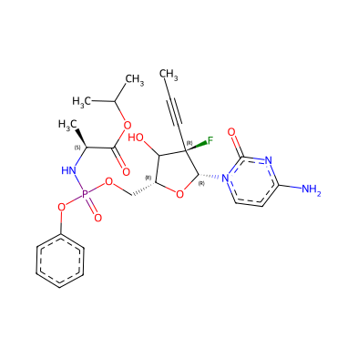 CC#C[C@@]1(F)C(O)[C@@H](COP(=O)(N[C@@H](C)C(=O)OC(C)C)Oc2ccccc2)O[C@H]1n1ccc(N)nc1=O